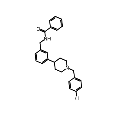 O=C(NCc1cccc(C2CCN(Cc3ccc(Cl)cc3)CC2)c1)c1ccccc1